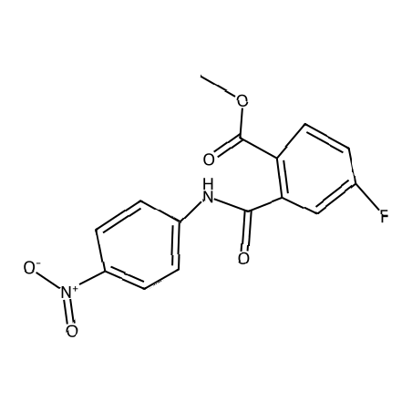 COC(=O)c1ccc(F)cc1C(=O)Nc1ccc([N+](=O)[O-])cc1